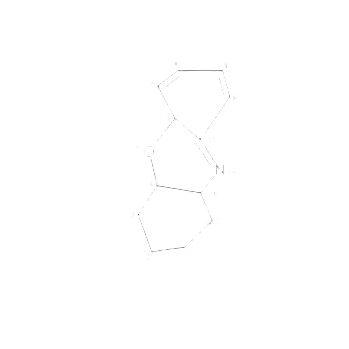 [C]1CCCC2OC3C=CC=CC3=NC12